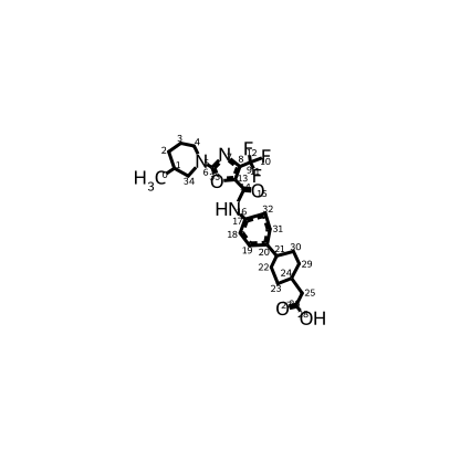 CC1CCCN(c2nc(C(F)(F)F)c(C(=O)Nc3ccc(C4CCC(CC(=O)O)CC4)cc3)o2)C1